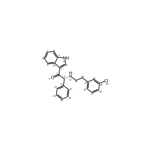 O=C(c1c[nH]c2ccccc12)[C@H](NCCc1cccc(Cl)c1)c1ccccc1